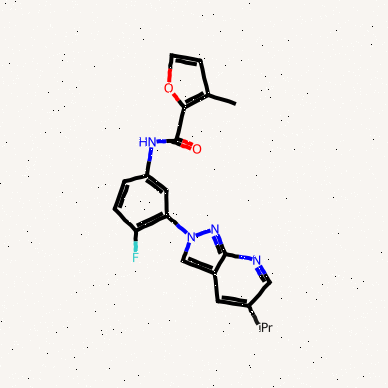 Cc1ccoc1C(=O)Nc1ccc(F)c(-n2cc3cc(C(C)C)cnc3n2)c1